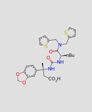 CCCC[C@@H](NC(=O)N[C@](C)(CC(=O)O)c1ccc2c(c1)OCO2)C(=O)N(Cc1cccs1)Cc1cccs1